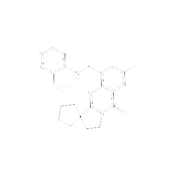 Cc1cc([C@@H](C)Nc2ccnnc2C(=O)O)c2nc3n(c(=O)c2c1)CCC31CCCC1